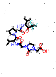 CC(C)[C@H](NC(=O)CN1CCN(CC(=O)O)C1=O)C(=O)N1CCC[C@H]1C(=O)N[C@H](C(=O)C(F)(F)F)C(C)C